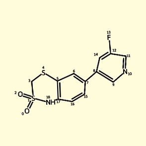 O=S1(=O)CSc2cc(-c3cncc(F)c3)ccc2N1